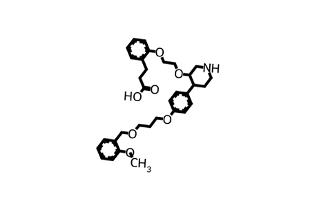 COc1ccccc1COCCCOc1ccc(C2CCNCC2OCCOc2ccccc2CCC(=O)O)cc1